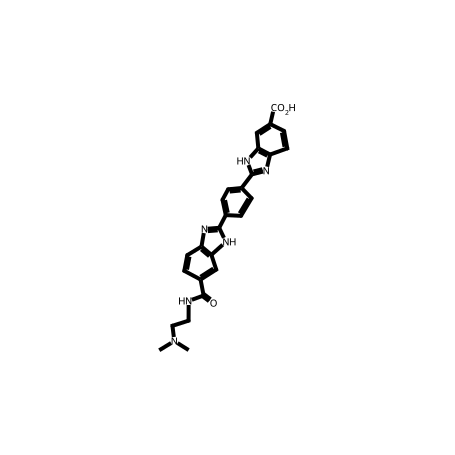 CN(C)CCNC(=O)c1ccc2nc(-c3ccc(-c4nc5ccc(C(=O)O)cc5[nH]4)cc3)[nH]c2c1